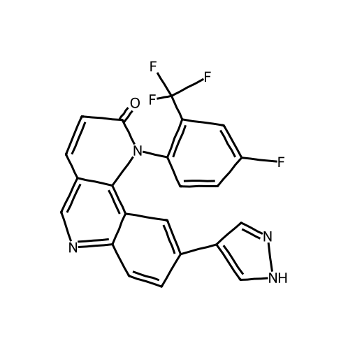 O=c1ccc2cnc3ccc(-c4cn[nH]c4)cc3c2n1-c1ccc(F)cc1C(F)(F)F